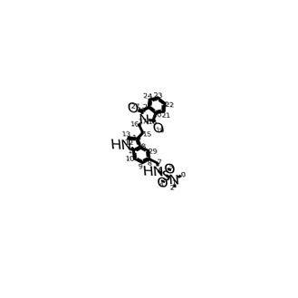 CN(C)S(=O)(=O)NCc1ccc2[nH]cc(CCN3C(=O)c4ccccc4C3=O)c2c1